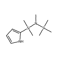 CN([Si](C)(C)C)[Si](C)(C)c1ccc[nH]1